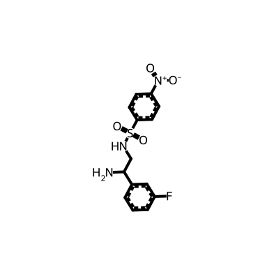 NC(CNS(=O)(=O)c1ccc([N+](=O)[O-])cc1)c1cccc(F)c1